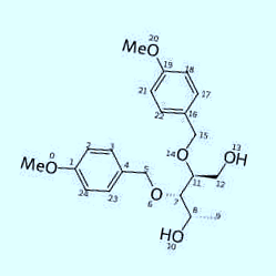 COc1ccc(CO[C@@H]([C@H](C)O)[C@H](CO)OCc2ccc(OC)cc2)cc1